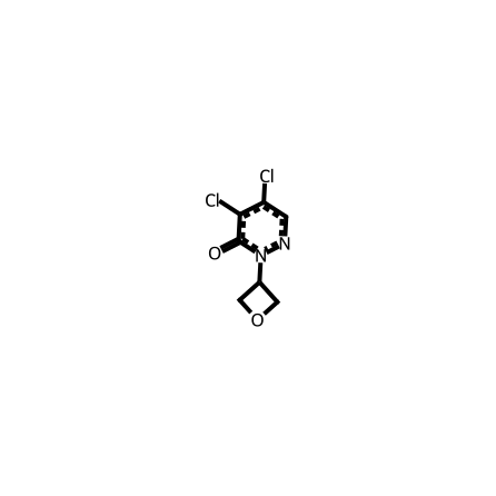 O=c1c(Cl)c(Cl)cnn1C1COC1